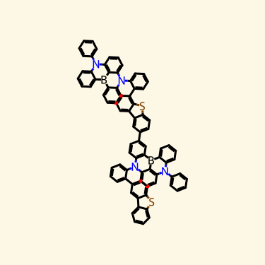 c1ccc(N2c3ccccc3B3c4cc(-c5ccc6sc7c(-c8ccccc8N8c9ccccc9B9c%10ccccc%10N(c%10ccccc%10)c%10cccc8c%109)cccc7c6c5)ccc4N(c4ccccc4-c4ccc5sc6ccccc6c5c4)c4cccc2c43)cc1